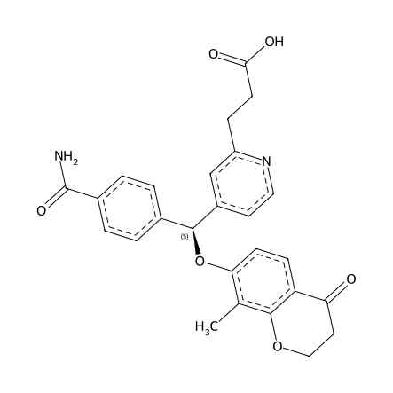 Cc1c(O[C@@H](c2ccc(C(N)=O)cc2)c2ccnc(CCC(=O)O)c2)ccc2c1OCCC2=O